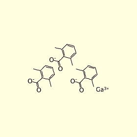 Cc1cccc(C)c1C(=O)[O-].Cc1cccc(C)c1C(=O)[O-].Cc1cccc(C)c1C(=O)[O-].[Ga+3]